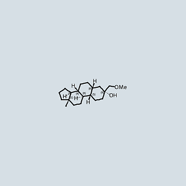 COC[C@@]1(O)CC[C@H]2[C@H](CC[C@@H]3[C@@H]2CC[C@]2(C)CCC[C@@H]32)C1